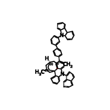 C=C[C@H]1C[C@H]2CCC(c3ccccc3N(c3ccc(-c4ccc(-c5cccc(N6c7ccccc7C7C=CC=CC76)c5)cc4)cc3)c3cccc4ccccc34)(C[C@@H](C)C2)C1